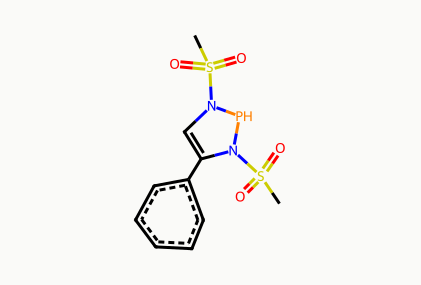 CS(=O)(=O)N1C=C(c2ccccc2)N(S(C)(=O)=O)P1